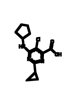 O=C(O)c1nc(C2CC2)nc(NC2CCCC2)c1Cl